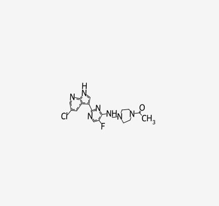 CC(=O)N1CCN(CNc2nc(-c3c[nH]c4ncc(Cl)cc34)ncc2F)CC1